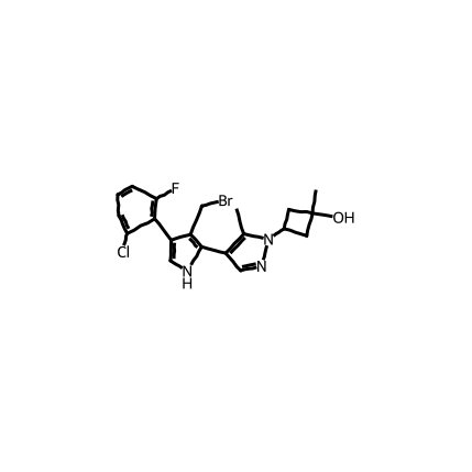 Cc1c(-c2[nH]cc(-c3c(F)cccc3Cl)c2CBr)cnn1C1CC(C)(O)C1